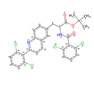 CC(C)(C)OC(=O)C(Cc1ccc2nc(-c3c(Cl)cccc3Cl)ccc2c1)NC(=O)c1c(Cl)cccc1Cl